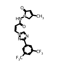 CC1=CC(=O)N(NC(=O)/C=C\n2cnc(-c3cc(C(F)(F)F)cc(C(F)(F)F)c3)n2)C1